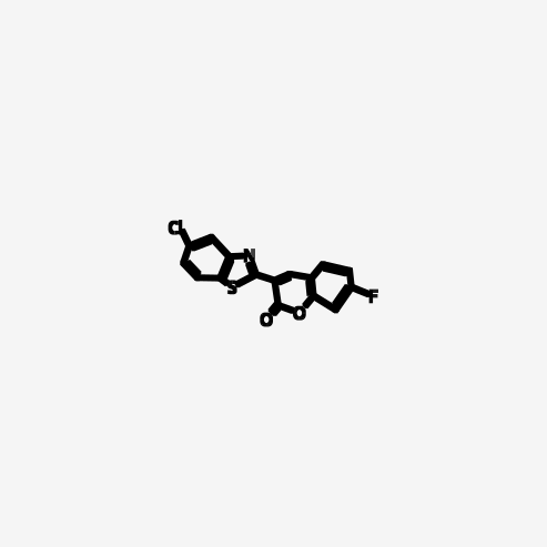 O=c1oc2cc(F)ccc2cc1-c1nc2cc(Cl)ccc2s1